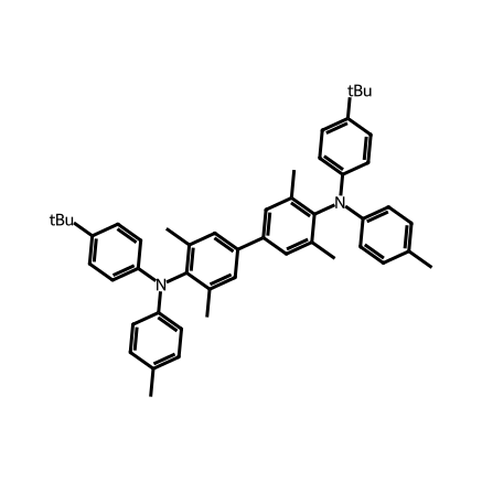 Cc1ccc(N(c2ccc(C(C)(C)C)cc2)c2c(C)cc(-c3cc(C)c(N(c4ccc(C)cc4)c4ccc(C(C)(C)C)cc4)c(C)c3)cc2C)cc1